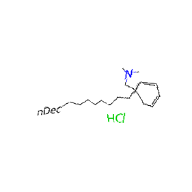 CCCCCCCCCCCCCCCCCCC1(CN(C)C)C=CC=CC1.Cl